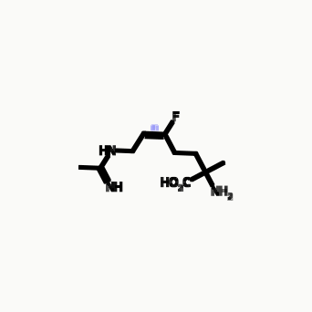 CC(=N)NC/C=C(/F)CCC(C)(N)C(=O)O